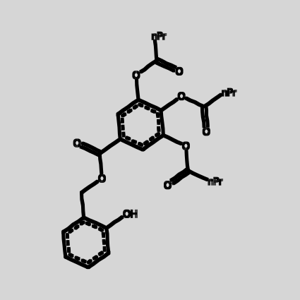 CCCC(=O)Oc1cc(C(=O)OCc2ccccc2O)cc(OC(=O)CCC)c1OC(=O)CCC